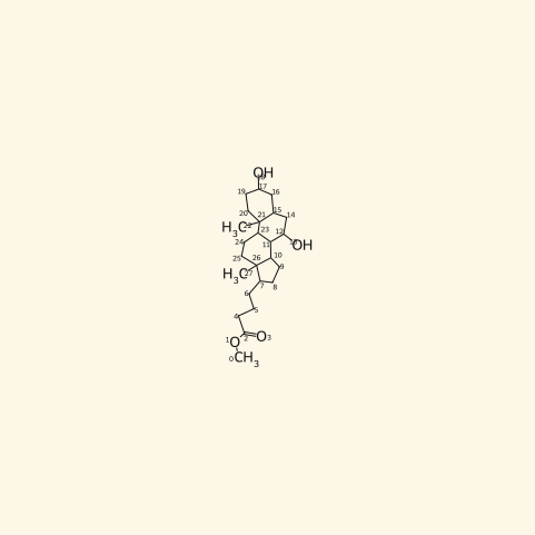 COC(=O)CCCC1CCC2C3C(O)CC4CC(O)CCC4(C)C3CCC12C